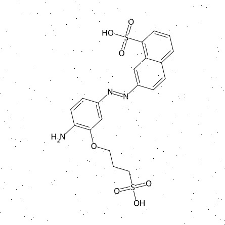 Nc1ccc(N=Nc2ccc3cccc(S(=O)(=O)O)c3c2)cc1OCCCS(=O)(=O)O